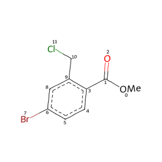 COC(=O)c1ccc(Br)cc1CCl